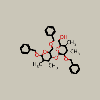 CC1[C@H](OCc2ccccc2)OC(COCc2ccccc2)[C@@H](O[C@@H]2OC(CO)[C@@H](C)[C@H](C)C2OCc2ccccc2)[C@@H]1C